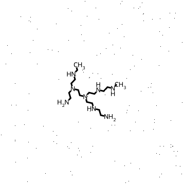 CCNCCN(CCN)CCN(CCNCCN)CCNCCNC